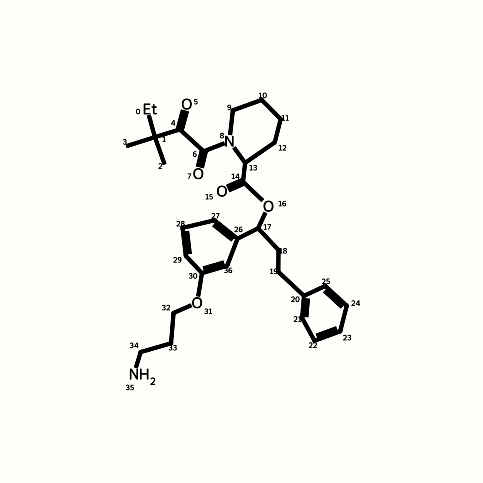 CCC(C)(C)C(=O)C(=O)N1CCCCC1C(=O)OC(CCc1ccccc1)c1cccc(OCCCN)c1